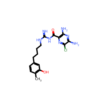 Cc1ccc(CCCCNC(=N)NC(=O)c2nc(Cl)c(N)nc2N)cc1O